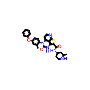 Cc1cc(Oc2ccccc2)ccc1N1C(=O)Nc2c(C(=O)NC3CCNC(C)C3)sc3nccc1c23